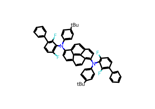 CC(C)(C)c1ccc(N(c2c(F)ccc(-c3ccccc3)c2F)c2ccc3ccc4c(N(c5ccc(C(C)(C)C)cc5)c5c(F)ccc(-c6ccccc6)c5F)ccc5ccc2c3c54)cc1